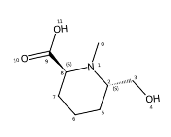 CN1[C@H](CO)CCC[C@H]1C(=O)O